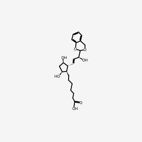 O=C(O)CCCCCC[C@@H]1[C@@H](/C=C/[C@H](O)C2OCc3ccccc3O2)[C@H](O)C[C@@H]1O